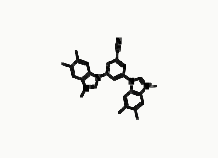 Cc1cc2c(cc1C)[n+](C)cn2-c1cc(C#N)cc(-n2c[n+](C)c3cc(C)c(C)cc32)c1